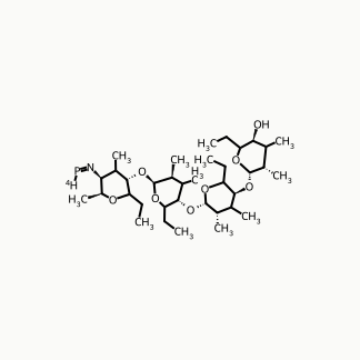 [4H]/P=N\[C@H]1C(C)[C@H](O[C@@H]2OC(CC)[C@@H](O[C@@H]3OC(CC)[C@@H](O[C@@H]4OC(CC)[C@@H](O)C(C)[C@@H]4C)C(C)[C@@H]3C)C(C)[C@@H]2C)C(CC)O[C@H]1C